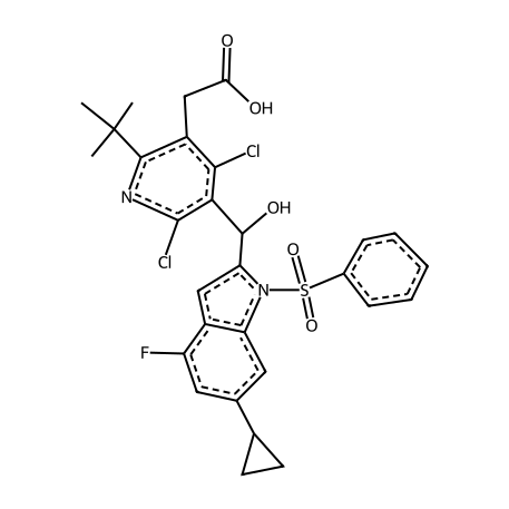 CC(C)(C)c1nc(Cl)c(C(O)c2cc3c(F)cc(C4CC4)cc3n2S(=O)(=O)c2ccccc2)c(Cl)c1CC(=O)O